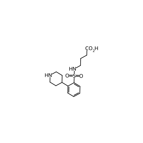 O=C(O)CCCNS(=O)(=O)c1ccccc1C1CCNCC1